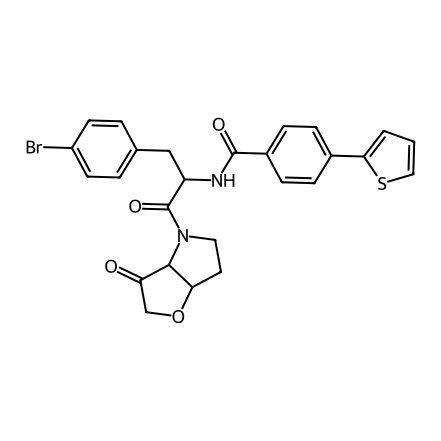 O=C(NC(Cc1ccc(Br)cc1)C(=O)N1CCC2OCC(=O)C21)c1ccc(-c2cccs2)cc1